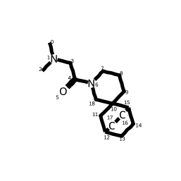 CN(C)CC(=O)N1CCCC2(CC3CCC2CC3)C1